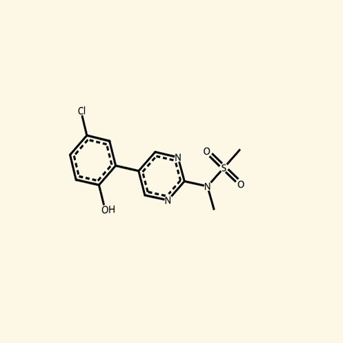 CN(c1ncc(-c2cc(Cl)ccc2O)cn1)S(C)(=O)=O